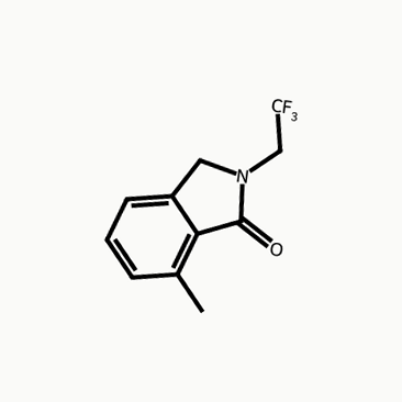 Cc1cccc2c1C(=O)N(CC(F)(F)F)C2